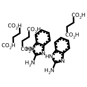 Nc1nc2ccccc2[nH]1.Nc1nc2ccccc2[nH]1.O=C(O)CCC(=O)O.O=C(O)CCC(=O)O.O=C(O)CCC(=O)O